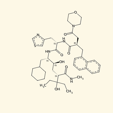 CCC(O)(CC)[C@H](C[C@H](O)[C@H](CC1CCCCC1)NC(=O)[C@H](Cc1cscn1)NC(=O)[C@@H](CC(=O)N1CCOCC1)Cc1cccc2ccccc12)C(=O)NC